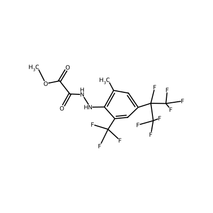 COC(=O)C(=O)NNc1c(C)cc(C(F)(C(F)(F)F)C(F)(F)F)cc1C(F)(F)F